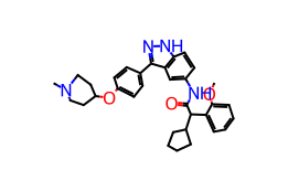 COc1ccccc1C(C(=O)Nc1ccc2[nH]nc(-c3ccc(OC4CCN(C)CC4)cc3)c2c1)C1CCCC1